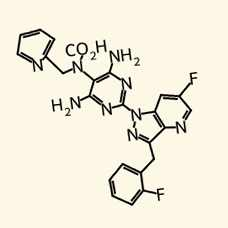 Nc1nc(-n2nc(Cc3ccccc3F)c3ncc(F)cc32)nc(N)c1N(Cc1ccccn1)C(=O)O